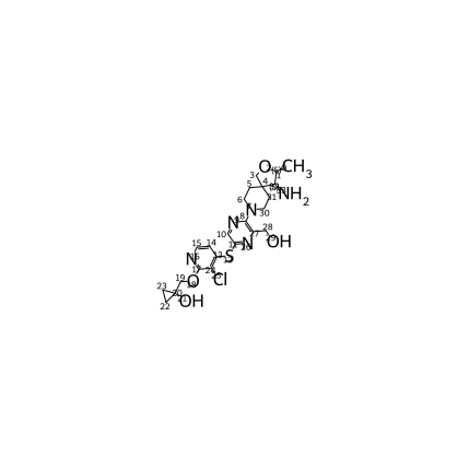 C[C@@H]1OCC2(CCN(c3ncc(Sc4ccnc(OCC5(O)CC5)c4Cl)nc3CO)CC2)[C@@H]1N